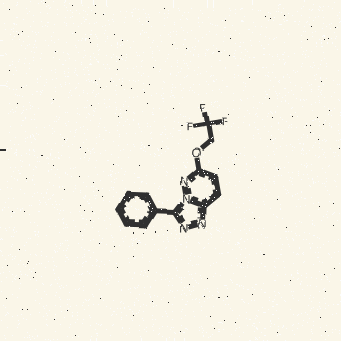 FC(F)(F)COc1ccc2nnc(-c3ccccc3)n2n1